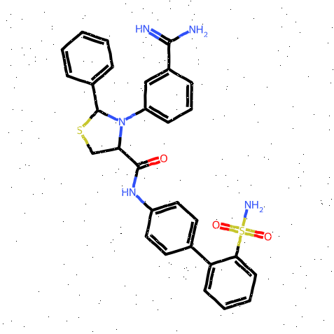 N=C(N)c1cccc(N2C(C(=O)Nc3ccc(-c4ccccc4S(N)(=O)=O)cc3)CSC2c2ccccc2)c1